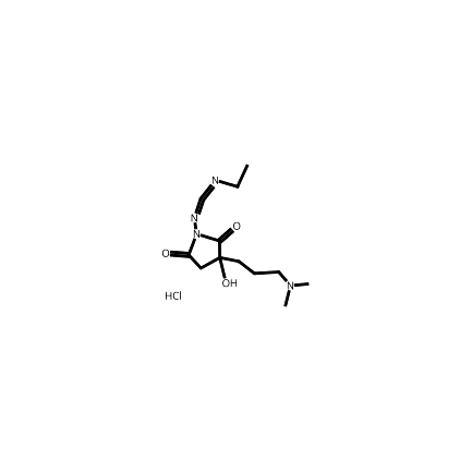 CCN=C=NN1C(=O)CC(O)(CCCN(C)C)C1=O.Cl